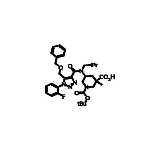 CC(C)CN(C(=O)c1nnn(-c2ccccc2F)c1COCc1ccccc1)[C@@H]1CN(C(=O)OC(C)(C)C)C[C@](C)(C(=O)O)C1